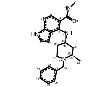 CNC(=O)c1cnc2[nH]ccc2c1N[C@@H]1CCN(Cc2ccccc2)[C@H](C)C1